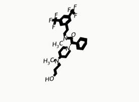 CN(CCc1cc(C(F)(F)F)cc(C(F)(F)F)c1)C(=O)[C@H](c1ccccc1)N1CCC(N(C)CCCO)CC1